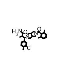 Cc1ccc(C(C(C)C(N)=O)N2CC3CN(C(=O)c4c(C)cccc4C)CC3C2)cc1Cl